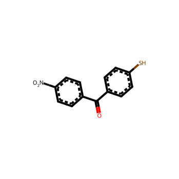 O=C(c1ccc(S)cc1)c1ccc([N+](=O)[O-])cc1